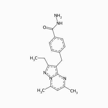 CCc1nn2c(C)cc(C)nc2c1Cc1ccc(C(=O)NN)cc1